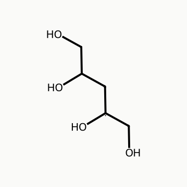 OC[C](O)CC(O)CO